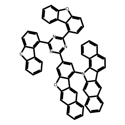 c1ccc2cc3c(cc2c1)oc1cc(-c2nc(-c4cccc5oc6ccccc6c45)nc(-c4cccc5sc6ccccc6c45)n2)cc(-n2c4cc5ccccc5cc4c4ccc5ccccc5c42)c13